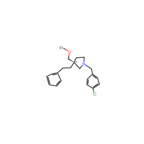 CCOC[C@@]1(CCc2ccccc2)CCN(Cc2ccc(Cl)cc2)C1